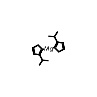 CC(C)C1=[C]([Mg][C]2=C(C(C)C)C=CC2)CC=C1